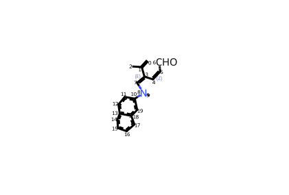 C=C(C)C(/C=C\C=O)=C/N(C)c1ccc2ccccc2c1